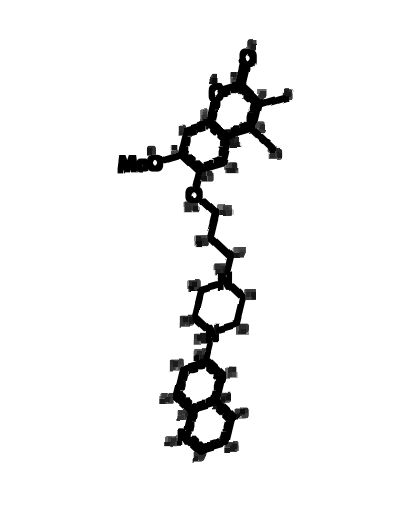 COc1cc2oc(=O)c(C)c(C)c2cc1OCCCN1CCN(c2ccc3ncccc3c2)CC1